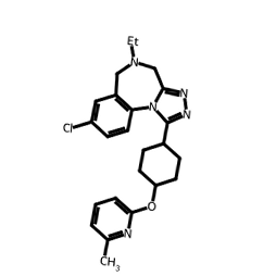 CCN1Cc2cc(Cl)ccc2-n2c(nnc2C2CCC(Oc3cccc(C)n3)CC2)C1